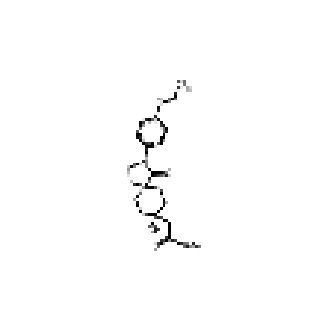 CNC(=O)C[C@]1(O)CC[C@]2(CCN(c3ccc(OCC(F)(F)F)cc3)C2=O)CC1